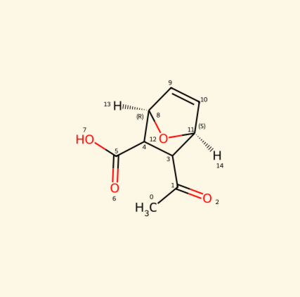 CC(=O)C1C(C(=O)O)[C@H]2C=C[C@@H]1O2